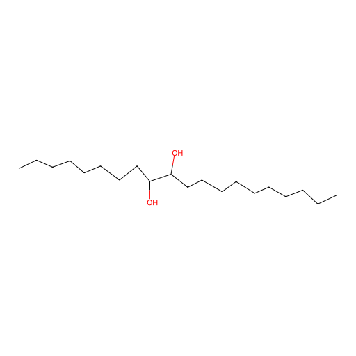 CCCCCCCCCCC(O)C(O)CCCCCCCC